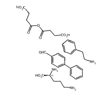 NCCC[C@H](N)C(=O)O.NCCc1ccccc1.O=C(O)CCC(=O)OC(=O)CCC(=O)O.O=Cc1ccc(-c2ccccc2)cc1